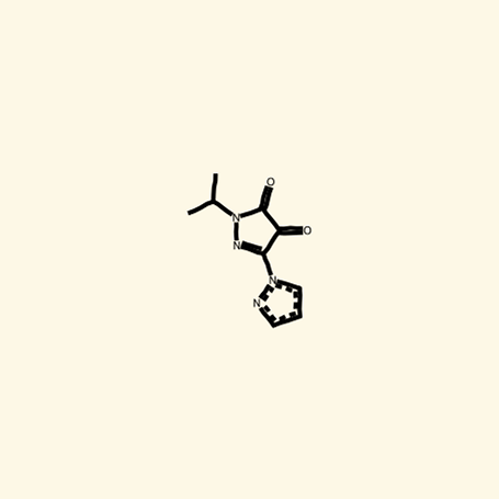 CC(C)N1N=C(n2cccn2)C(=O)C1=O